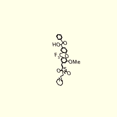 COc1cc(C=C2SC(=O)N(CCN3CCCCCC3)C2=O)ccc1Oc1ccc(C(O)C(=O)c2ccccc2)cc1C(F)(F)F